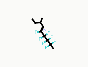 CCC(C)/C=C(\F)C(F)(F)C(F)(F)C(C)(F)F